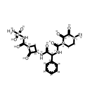 CCN1CCN(C(=O)NC(C(=O)N[C@H]2CN(C(=O)NS(N)(=O)=O)C2=O)c2ccccc2)C(=O)C1=O